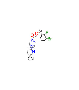 C[C@H]1CC2CN(C(=O)COC3(c4cccc(Br)c4F)CC3)CC1N2c1ccc(C#N)cn1